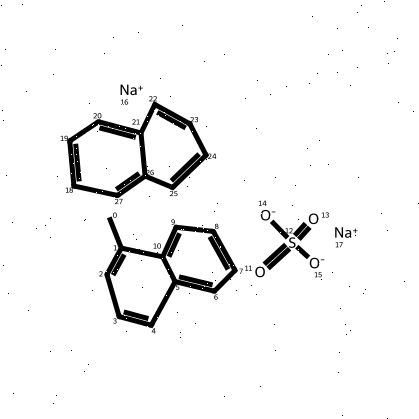 Cc1cccc2ccccc12.O=S(=O)([O-])[O-].[Na+].[Na+].c1ccc2ccccc2c1